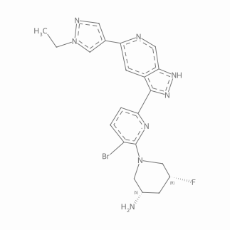 CCn1cc(-c2cc3c(-c4ccc(Br)c(N5C[C@@H](N)C[C@@H](F)C5)n4)n[nH]c3cn2)cn1